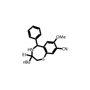 CCCCC1(CC)CSc2cc(C#N)c(OC)cc2C(c2ccccc2)N1